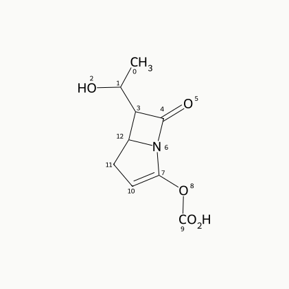 CC(O)C1C(=O)N2C(OC(=O)O)=CCC12